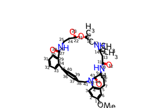 COc1ccc2c(c1)CC[C@H]1NC(=O)CC(C)(C)NCC(C)OC(=O)CCNC(=O)c3ccccc3-c3ccc(cc3)CN2C1=O